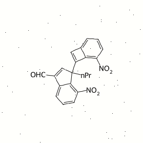 CCCC1(C2=Cc3cccc([N+](=O)[O-])c32)C=C(C=O)c2cccc([N+](=O)[O-])c21